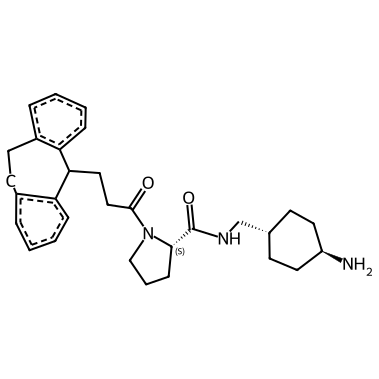 N[C@H]1CC[C@H](CNC(=O)[C@@H]2CCCN2C(=O)CCC2c3ccccc3CCc3ccccc32)CC1